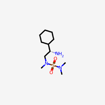 CN(C)S(=O)(=O)N(C)C[C@@H](N)C1CCCCC1